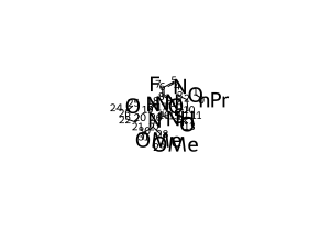 CCCO[C@@H](c1ncc(F)cn1)[C@H](C)S(=O)(=O)Nc1nnc([C@@H]2CC[C@H](C)O2)n1C(COC)COC